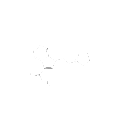 NC(=O)c1cn(CCN2CCCC2)c2cc[c]cc12